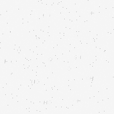 COCOC1C(C)C(CO)OC(C)C1OC1OC(C)C(O)C(O)C1O